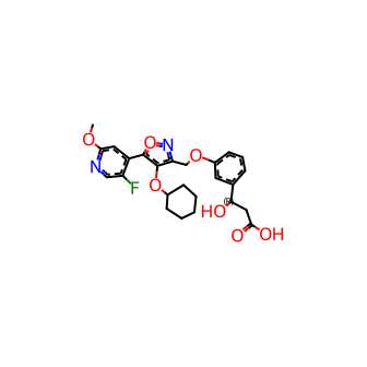 COc1cc(-c2onc(COc3cccc([C@H](O)CC(=O)O)c3)c2OC2CCCCC2)c(F)cn1